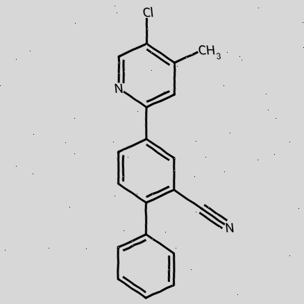 Cc1cc(-c2ccc(-c3ccccc3)c(C#N)c2)ncc1Cl